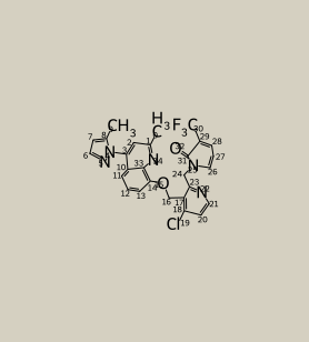 Cc1cc(-n2nccc2C)c2cccc(OCc3c(Cl)ccnc3Cn3cccc(C(F)(F)F)c3=O)c2n1